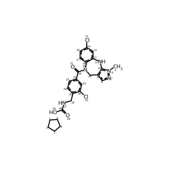 C1CCCC1.Cn1ncc2c1Nc1cc(Cl)ccc1N(C(=O)c1ccc(CNC(=O)O)c(Cl)c1)C2